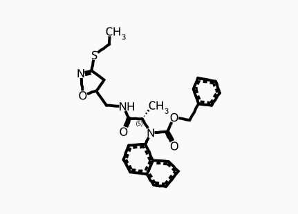 CCSC1=NOC(CNC(=O)[C@H](C)N(C(=O)OCc2ccccc2)c2cccc3ccccc23)C1